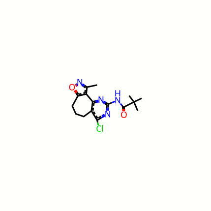 Cc1noc2c1-c1nc(NC(=O)C(C)(C)C)nc(Cl)c1CCC2